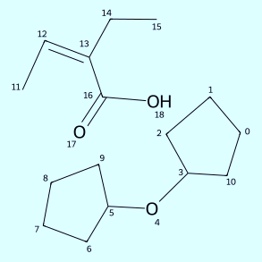 C1CCC(OC2CCCC2)C1.CC=C(CC)C(=O)O